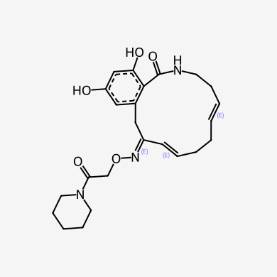 O=C1NCC/C=C/CC/C=C/C(=N/OCC(=O)N2CCCCC2)Cc2cc(O)cc(O)c21